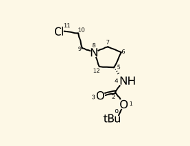 CC(C)(C)OC(=O)N[C@H]1CCN(CCCl)C1